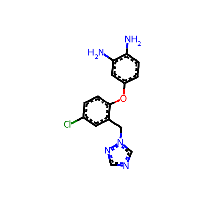 Nc1ccc(Oc2ccc(Cl)cc2Cn2cncn2)cc1N